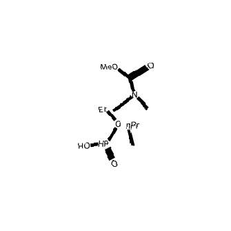 CCCC.CCO[PH](=O)O.COC(=O)N(C)C